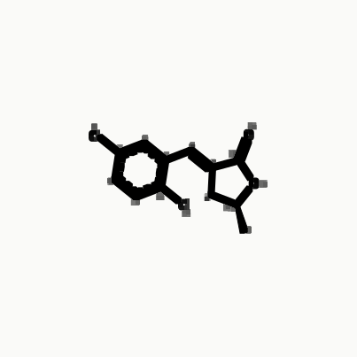 C[C@H]1CC(=Cc2cc(Cl)ccc2Cl)C(=O)O1